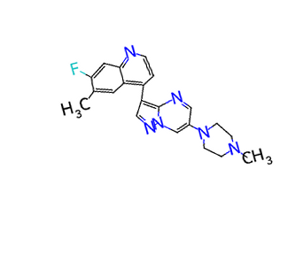 Cc1cc2c(-c3cnn4cc(N5CCN(C)CC5)cnc34)ccnc2cc1F